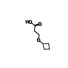 O=C(O)CCOC1CCC1